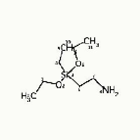 CCO[Si](CC)(CCN)OCC